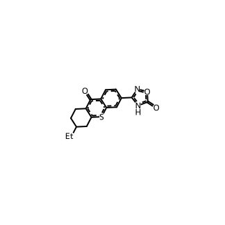 CCC1CCc2c(sc3cc(-c4noc(=O)[nH]4)ccc3c2=O)C1